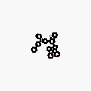 c1ccc(-c2ccc(N(c3ccccc3)c3ccc(-c4cc(-c5ccc6c(c5)C5(c7ccccc7-c7ccccc75)c5ccccc5-6)cc5c4sc4ccccc45)cc3)cc2)cc1